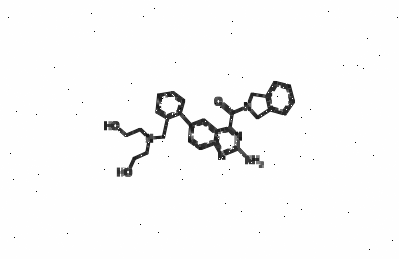 Nc1nc(C(=O)N2Cc3ccccc3C2)c2cc(-c3ccccc3CN(CCO)CCO)ccc2n1